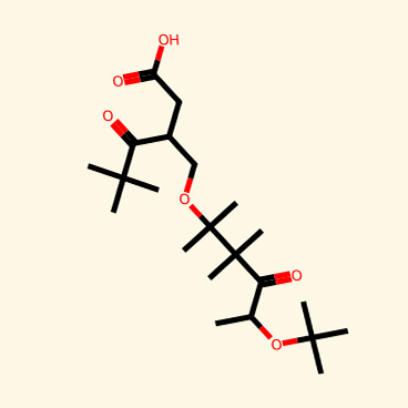 CC(OC(C)(C)C)C(=O)C(C)(C)C(C)(C)OCC(CC(=O)O)C(=O)C(C)(C)C